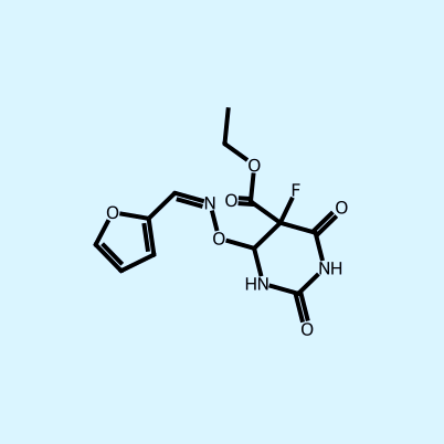 CCOC(=O)C1(F)C(=O)NC(=O)NC1O/N=C\c1ccco1